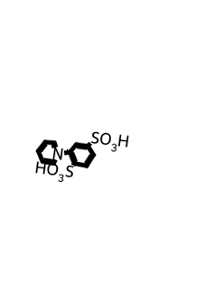 O=S(=O)(O)c1ccc(S(=O)(=O)O)c(-[n+]2ccccc2)c1